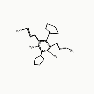 CC=CCc1c(N)c(C2CCCC2)c(N)c(CC=CC)c1C1CCCC1